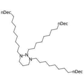 CCCCCCCCCCCCCCCCCCN1CCCN(CCCCCCCCCCCCCCCCCC)N1CCCCCCCCCCCCCCCCCC